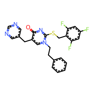 O=c1nc(SCc2c(F)cc(F)cc2F)n(CCc2ccccc2)cc1Cc1cncnc1